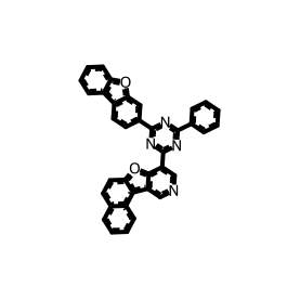 c1ccc(-c2nc(-c3ccc4c(c3)oc3ccccc34)nc(-c3cncc4c3oc3ccc5ccccc5c34)n2)cc1